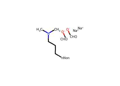 CCCCCCCCCCCCN(C)C.O=C[O-].O=C[O-].[Na+].[Na+]